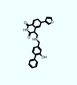 O=C1NC(=O)C(CNCc2ccc(-c3ccccc3)c(O)c2)C2=CC(c3ccoc3)CC=C12